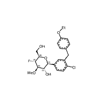 CCOc1ccc(Cc2cc([C@@H]3O[C@H](CO)[C@@H](F)[C@H](OC)[C@H]3O)ccc2Cl)cc1